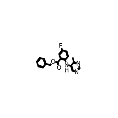 Cc1ncncc1Nc1ccc(F)cc1C(=O)OCc1ccccc1